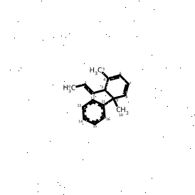 CC=CC1C(C)=CC=CC1(C)c1ccccc1